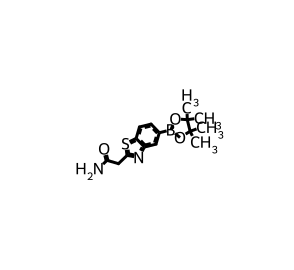 CC1(C)OB(c2ccc3sc(CC(N)=O)nc3c2)OC1(C)C